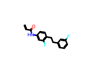 C=CC(=O)Nc1ccc(CCc2cccc(F)c2)c(F)c1